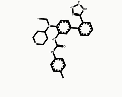 Cc1ccc(NC(=O)Nc2cc(-c3ccccc3C3=NNNN3)ccc2N(CC(C)C)C2CCOCC2)cc1